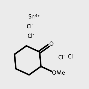 COC1CCCCC1=O.[Cl-].[Cl-].[Cl-].[Cl-].[Sn+4]